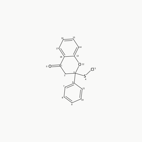 O=C1CC(SCl)(c2ccccc2)Oc2ccccc21